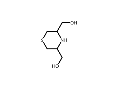 OCC1CSCC(CO)N1